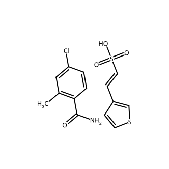 Cc1cc(Cl)ccc1C(N)=O.O=S(=O)(O)C=Cc1ccsc1